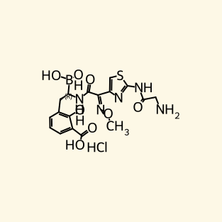 CON=C(C(=O)N[C@@H](Cc1cccc(C(=O)O)c1O)B(O)O)c1csc(NC(=O)CN)n1.Cl